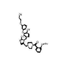 CCCCOc1ccccc1C(=O)N1CCN(Cc2cnc(C)n2Cc2ccc(C#N)c(Oc3cccc(OCCO)c3)c2)CC1